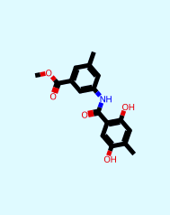 COC(=O)c1cc(C)cc(NC(=O)c2cc(O)c(C)cc2O)c1